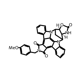 COc1ccc(CN2C(=O)c3c(c4c5ccccc5n5c4c4c3c3ccccc3n4C3CC5[C@@H]4NC(=O)O[C@H]34)C2=O)cc1